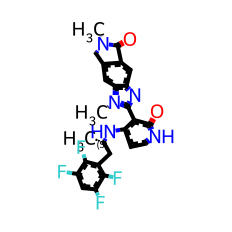 C[C@@H](Cc1c(F)c(F)cc(F)c1F)Nc1cc[nH]c(=O)c1-c1nc2cc3c(cc2n1C)CN(C)C3=O